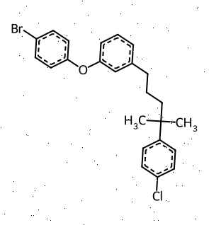 CC(C)(CCCc1cccc(Oc2ccc(Br)cc2)c1)c1ccc(Cl)cc1